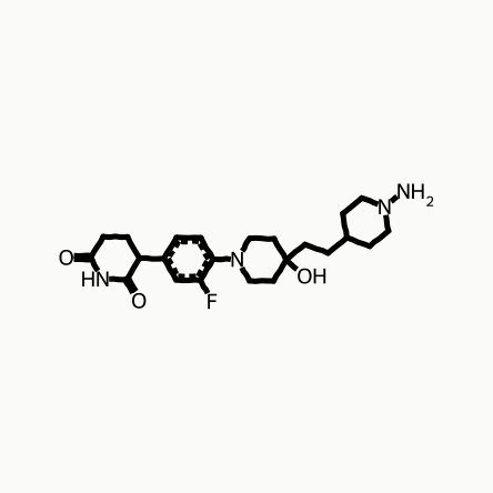 NN1CCC(CCC2(O)CCN(c3ccc(C4CCC(=O)NC4=O)cc3F)CC2)CC1